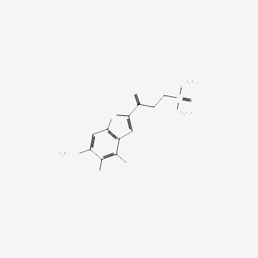 COc1cc2sc(C(=O)CCP(=O)(OC)OC)cc2c(F)c1O